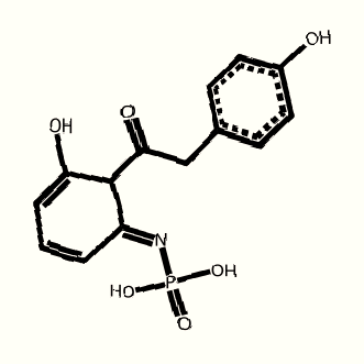 O=C(Cc1ccc(O)cc1)C1C(O)=CC=CC1=NP(=O)(O)O